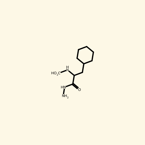 NNC(=O)C(CC1CCCCC1)NC(=O)O